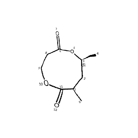 CC1C[C@H](C)OC(=O)CCOC1=O